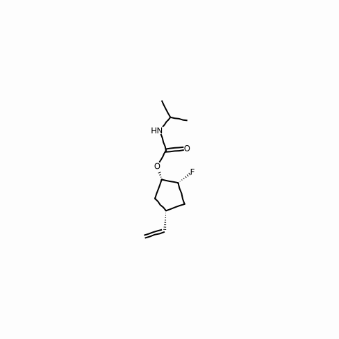 C=C[C@H]1C[C@@H](F)[C@@H](OC(=O)NC(C)C)C1